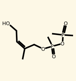 C/C(=C/CO)COP(C)(=O)OP(C)(C)=O